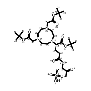 CC(=O)[C@H](CS(=O)(=O)O)NC(=O)CC[C@H](C(=O)OC(C)(C)C)N1CCN(CC(=O)OC(C)(C)C)CCN(CC(=O)OC(C)(C)C)CC1